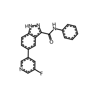 O=C(Nc1ccccc1)c1n[nH]c2ccc(-c3cncc(F)c3)cc12